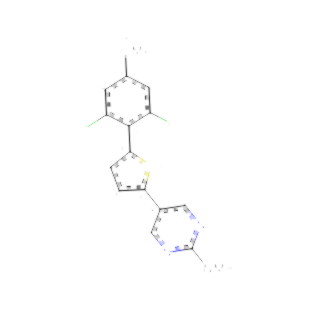 CNc1ncc(-c2ccc(-c3c(Cl)cc(OC)cc3Cl)s2)cn1